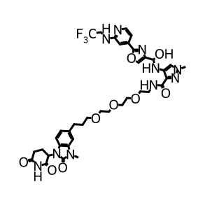 Cn1cc(NC(O)c2coc(-c3ccnc(NCC(F)(F)F)c3)n2)c(C(=O)NCCOCCOCCOCCCc2ccc3c(c2)n(C)c(=O)n3C2CCC(=O)NC2=O)n1